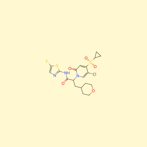 O=C(Nc1ncc(F)s1)C(CC1CCOCC1)n1cc(Cl)c(S(=O)(=O)C2CC2)cc1=O